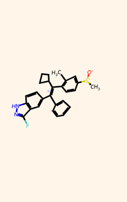 Cc1cc([S+](C)[O-])ccc1/C(=C(\c1[c]cccc1)c1ccc2[nH]nc(F)c2c1)C1CCC1